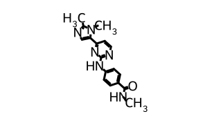 CNC(=O)c1ccc(Nc2nccc(-c3cnc(C)n3C)n2)cc1